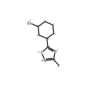 CCC1CCCC(c2nc(C)ns2)C1